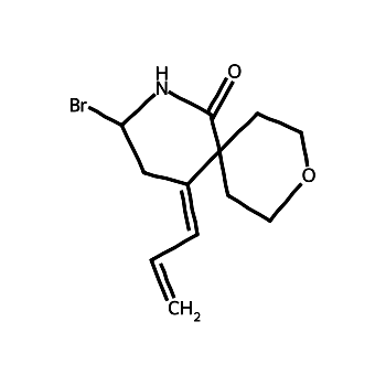 C=C/C=C1\CC(Br)NC(=O)C12CCOCC2